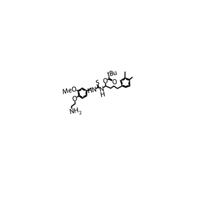 COc1cc(CNC(=S)NC(CCCc2ccc(C)c(C)c2)OC(=O)C(C)(C)C)ccc1OCCN